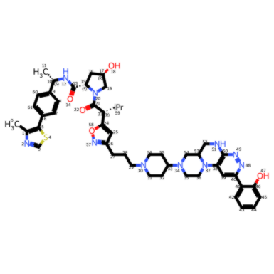 Cc1ncsc1-c1ccc([C@H](C)NC(=O)[C@@H]2C[C@@H](O)CN2C(=O)[C@@H](c2cc(CCCN3CCC(N4CCN5c6cc(-c7ccccc7O)nnc6NCC5C4)CC3)no2)C(C)C)cc1